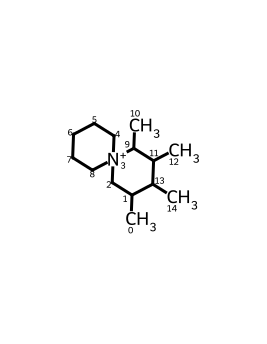 CC1C[N+]2(CCCCC2)C(C)C(C)C1C